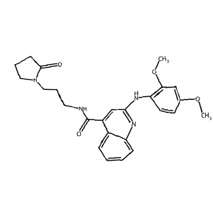 COc1ccc(Nc2cc(C(=O)NCCCN3CCCC3=O)c3ccccc3n2)c(OC)c1